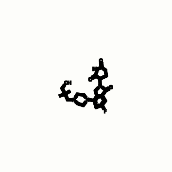 CC(C)(CO)CN1CCN(c2cc(F)cc3c2CN(C2CCC(=O)NC2=O)C3=O)CC1